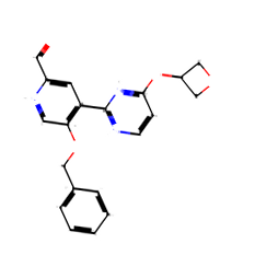 O=Cc1cc(-c2nccc(OC3COC3)n2)c(OCc2ccccc2)cn1